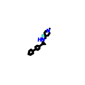 CN1CCC(F)(CNC2CC2c2ccc(-c3ccccc3)cc2)CC1